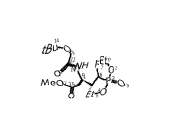 CCOP(=O)(OCC)C(F)C[C@H](NC(=O)OC(C)(C)C)C(=O)OC